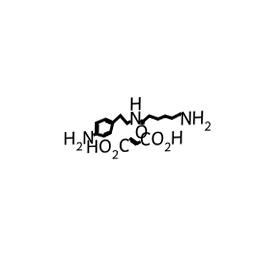 NCCCCCC(=O)NCCc1ccc(N)cc1.O=C(O)C=CC(=O)O